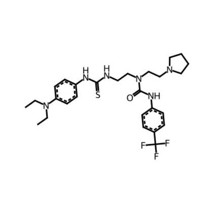 CCN(CC)c1ccc(NC(=S)NCCN(CCN2CCCC2)C(=O)Nc2ccc(C(F)(F)F)cc2)cc1